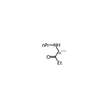 CCCN[C@H](C)C(=O)CC